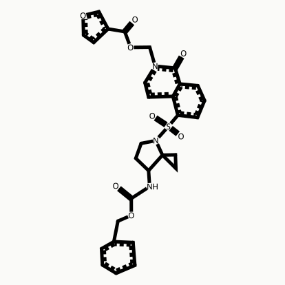 O=C(NC1CCN(S(=O)(=O)c2cccc3c(=O)n(COC(=O)c4ccoc4)ccc23)C12CC2)OCc1ccccc1